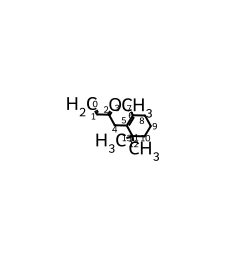 C=CC(=O)CC1=C(C)CCCC1(C)C